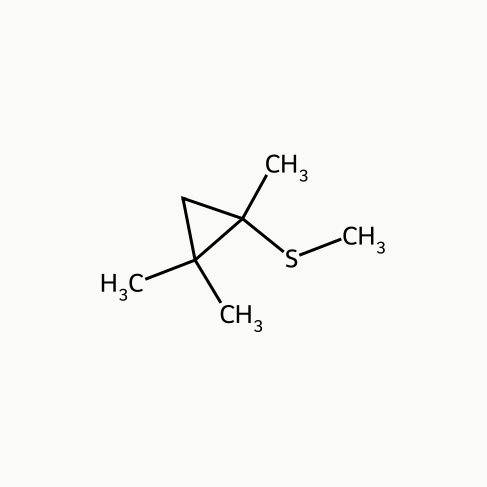 CSC1(C)CC1(C)C